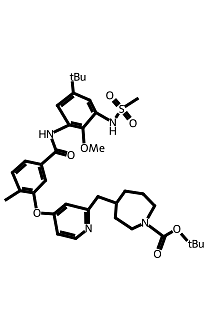 COc1c(NC(=O)c2ccc(C)c(Oc3ccnc(CC4CCCN(C(=O)OC(C)(C)C)CC4)c3)c2)cc(C(C)(C)C)cc1NS(C)(=O)=O